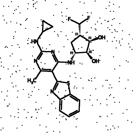 Cc1nc(NC2CC2)nc(N[C@@H]2C[C@H](C(F)F)[C@@H](O)[C@H]2O)c1-c1nc2ccccc2s1